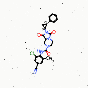 Cc1cc(C#N)cc(Cl)c1NC(=O)N1CCN2C(=O)N([C@@H]3C[C@H]3c3ccccc3)C(=O)C2C1